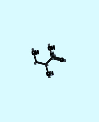 O=[PH](O)C(O)CO